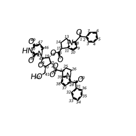 O=C(c1ccccc1)c1ccc2n1CCC2C(=O)O[C@@H]1[C@H](OC(=O)C2CCn3c(C(=O)c4ccccc4)ccc32)[C@@H](CO)O[C@H]1n1ccc(=O)[nH]c1=O